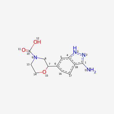 Nc1n[nH]c2cc(C3CN(C(=O)O)CCO3)ccc12